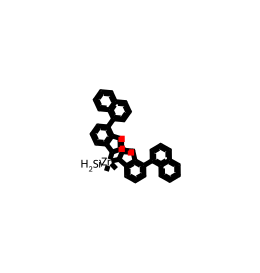 CC1=Cc2c(-c3cccc4ccccc34)cccc2[CH]1[Zr]([CH3])([CH3])(=[SiH2])[CH]1C(C)=Cc2c(-c3cccc4ccccc34)cccc21